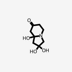 O=C1CCN2CC(O)(O)CC2(O)C1